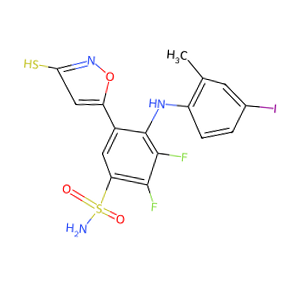 Cc1cc(I)ccc1Nc1c(-c2cc(S)no2)cc(S(N)(=O)=O)c(F)c1F